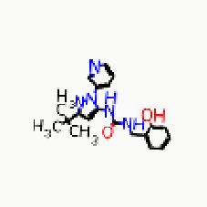 CC(C)(C)c1cc(NC(=O)NCc2ccccc2O)n(-c2cccnc2)n1